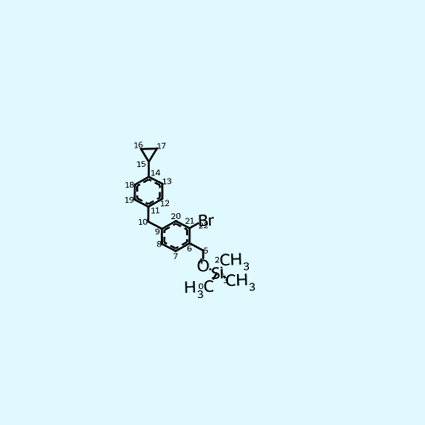 C[Si](C)(C)OCc1ccc(Cc2ccc(C3CC3)cc2)cc1Br